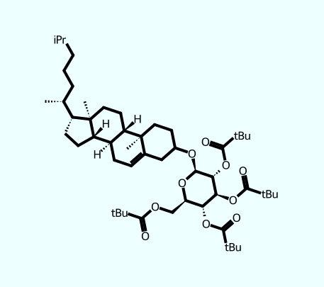 CC(C)CCC[C@@H](C)[C@H]1CC[C@H]2[C@@H]3CC=C4CC(O[C@@H]5O[C@H](COC(=O)C(C)(C)C)[C@@H](OC(=O)C(C)(C)C)[C@H](OC(=O)C(C)(C)C)[C@H]5OC(=O)C(C)(C)C)CC[C@]4(C)[C@H]3CC[C@]12C